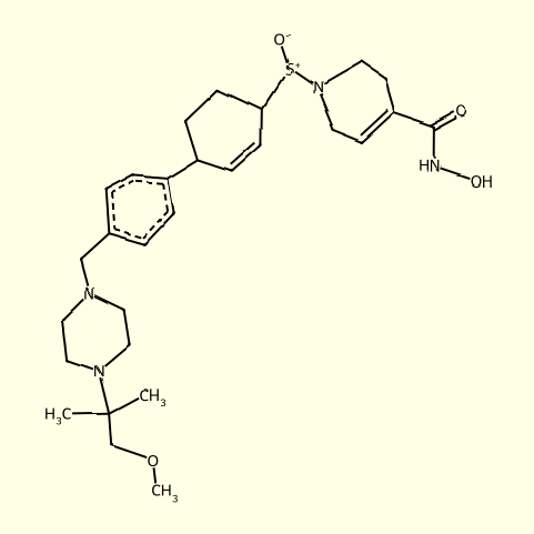 COCC(C)(C)N1CCN(Cc2ccc(C3C=CC([S+]([O-])N4CC=C(C(=O)NO)CC4)CC3)cc2)CC1